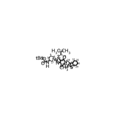 CC(C)=CCn1c(N2CCCC(NC(=O)OC(C)(C)C)C2)nc2c1c(=O)n(Cc1nsc3ccccc13)c(=O)n2C